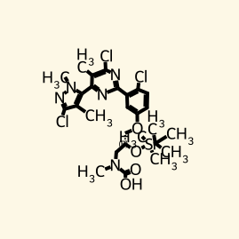 Cc1c(Cl)nc(-c2cc(OC[C@@H](CN(C)C(=O)O)O[Si](C)(C)C(C)(C)C)ccc2Cl)nc1-c1c(C)c(Cl)nn1C